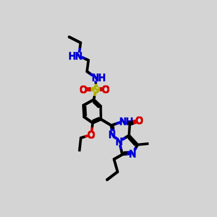 CCCc1nc(C)c2c(=O)[nH]c(-c3cc(S(=O)(=O)NCCNCC)ccc3OCC)nn12